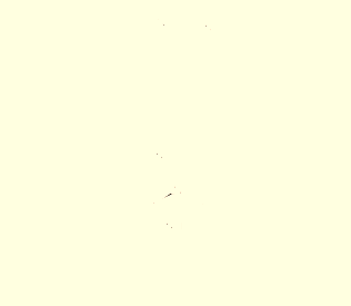 Nc1nccc2sc(CNC(=O)[C@]3(NC(=O)CC(c4ccccc4)c4ccccc4)NCCC3c3cccc4ccccc34)cc12